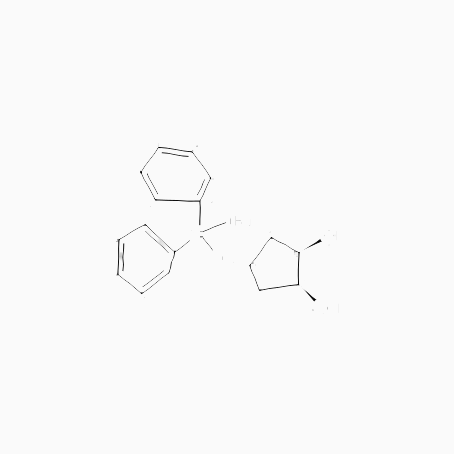 CC(C)(C)[Si](O[C@@H]1C[C@@H](O)[C@@H](O)C1)(c1ccccc1)c1ccccc1